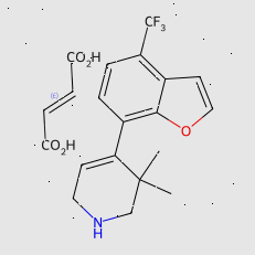 CC1(C)CNCC=C1c1ccc(C(F)(F)F)c2ccoc12.O=C(O)/C=C/C(=O)O